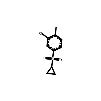 Cc1ccc(S(=O)(=O)C2CC2)cc1Cl